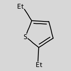 [CH2]Cc1ccc(CC)s1